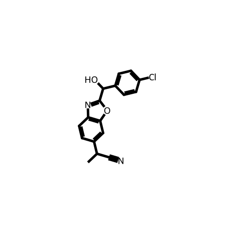 CC(C#N)c1ccc2nc(C(O)c3ccc(Cl)cc3)oc2c1